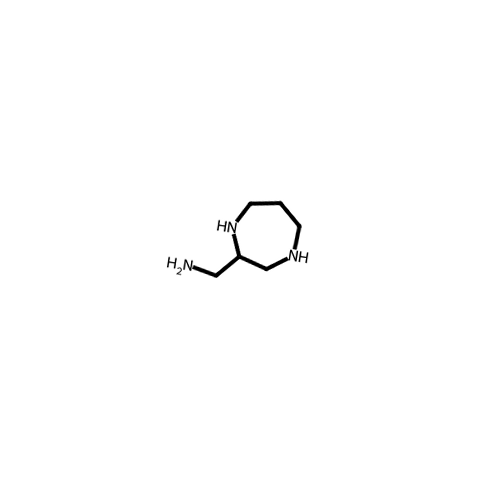 NCC1CNCCCN1